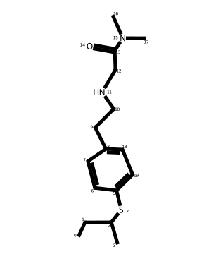 CCC(C)Sc1ccc(CCNCC(=O)N(C)C)cc1